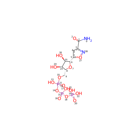 NC(=O)c1cc([C@@H]2O[C@H](COP(=O)(O)OP(=O)(O)OP(=O)(O)O)[C@@H](O)[C@H]2O)on1